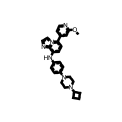 COc1cc(-c2ccc(Nc3ccc(N4CCN(C5CCC5)CC4)cc3)c3nccn23)ccn1